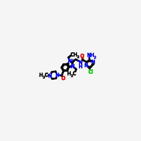 CCn1c(CNC(=O)c2nc(Cl)cnc2N)[n+](CC)c2ccc(C(=O)N3CCN(C)CC3)cc21